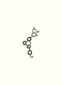 CC1CN(c2ccc3c(c2)Cn2cc(-c4ccc(C#N)cc4)cc2-c2nccn2-3)C[C@@H](CN(C)C)[C@H]1O